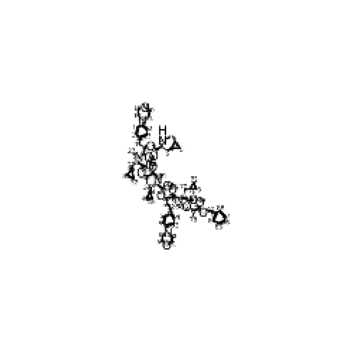 CN[C@@H](CC1CC1)C(=O)O[C@H](Cc1ccc(N2CCOCC2)cc1)C(=O)N(C)[C@@H](CC1CC1)C(=O)O[C@H](C)C(=O)N(C)[C@@H](CC1CC1)C(=O)O[C@H](CCc1ccc(N2CCOCC2)cc1)C(=O)N(C)[C@@H](CC1CC1)C(=O)O[C@H](C)C(=O)OCc1ccccc1